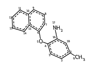 Cc1ccc(Oc2cccc3ccccc23)c(N)c1